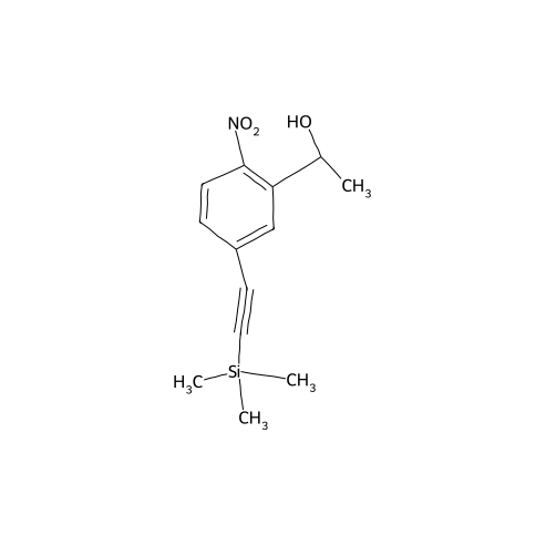 CC(O)c1cc(C#C[Si](C)(C)C)ccc1[N+](=O)[O-]